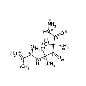 C=C(C)C(=O)NC(C)(C)C(=O)C(C)(C)C(=O)NN